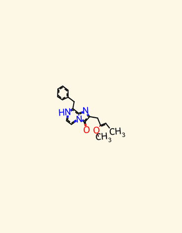 C/C=C(/Cc1nc2c(Cc3ccccc3)[nH]ccn-2c1=O)OC